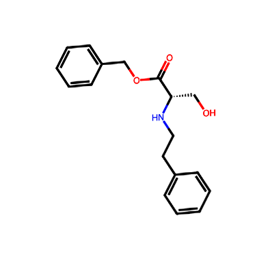 O=C(OCc1ccccc1)[C@H](CO)NCCc1ccccc1